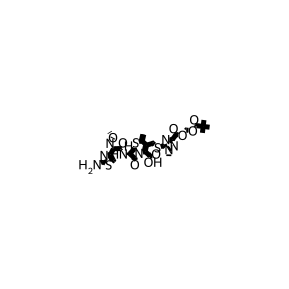 C=C1S[C@@H]2[C@H](NC(=O)/C(=N\OC)c3csc(N)n3)C(=O)N2C(C(=O)O)=C1CSc1nc(C(=O)OCOC(=O)C(C)(C)C)nn1C